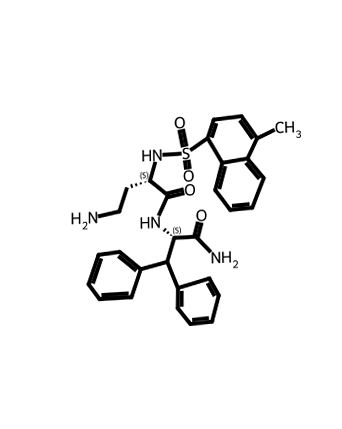 Cc1ccc(S(=O)(=O)N[C@@H](CCN)C(=O)N[C@H](C(N)=O)C(c2ccccc2)c2ccccc2)c2ccccc12